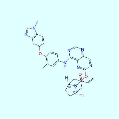 C=CC(=O)N1[C@@H]2CC[C@H]1CC(Oc1ncc3ncnc(Nc4ccc(Oc5ccc6c(c5)ncn6C)c(C)c4)c3n1)C2